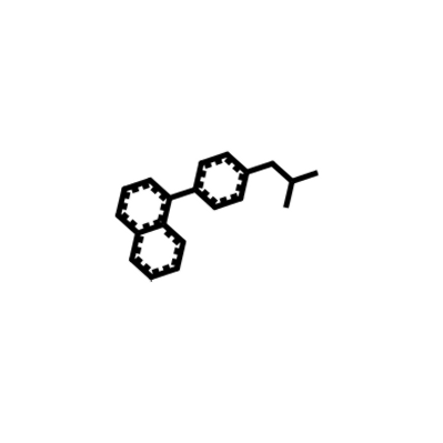 CC(C)Cc1ccc(-c2cccc3c[c]ccc23)cc1